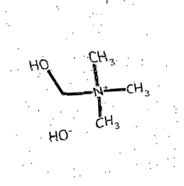 C[N+](C)(C)CO.[OH-]